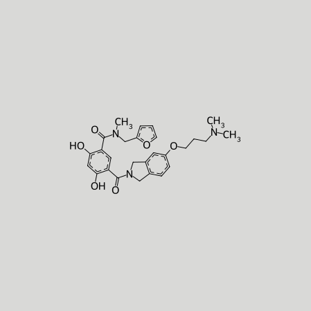 CN(C)CCCOc1ccc2c(c1)CN(C(=O)c1cc(C(=O)N(C)Cc3ccco3)c(O)cc1O)C2